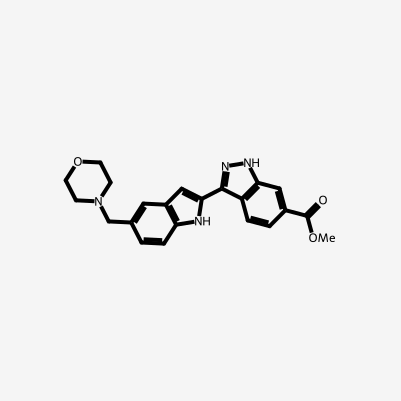 COC(=O)c1ccc2c(-c3cc4cc(CN5CCOCC5)ccc4[nH]3)n[nH]c2c1